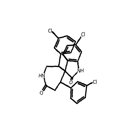 O=C1CC(c2cccc(Cl)c2)C2(C(=O)Nc3cc(Cl)ccc32)C(c2cccc(Cl)c2)CN1